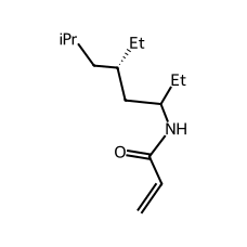 C=CC(=O)NC(CC)C[C@@H](CC)CC(C)C